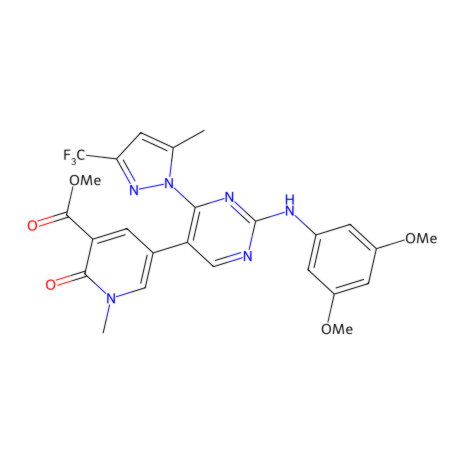 COC(=O)c1cc(-c2cnc(Nc3cc(OC)cc(OC)c3)nc2-n2nc(C(F)(F)F)cc2C)cn(C)c1=O